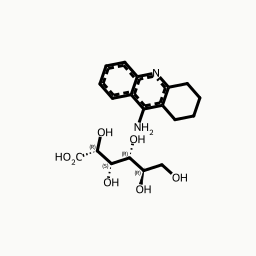 Nc1c2c(nc3ccccc13)CCCC2.O=C(O)[C@H](O)[C@@H](O)[C@H](O)[C@H](O)CO